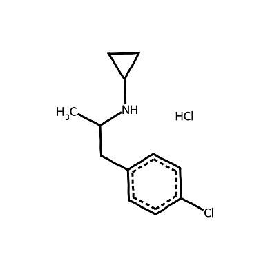 CC(Cc1ccc(Cl)cc1)NC1CC1.Cl